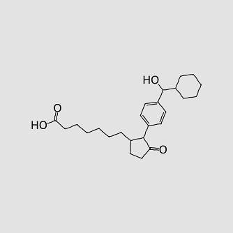 O=C(O)CCCCCCC1CCC(=O)C1c1ccc(C(O)C2CCCCC2)cc1